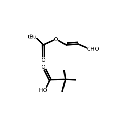 CC(C)(C)C(=O)O.CC(C)(C)C(=O)OC=CC=O